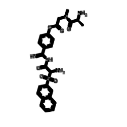 C[C@H](N)C(=O)N(C)CC(=O)Oc1ccc(C(=N)NC(=O)C(N)S(=O)(=O)c2ccc3ccccc3c2)cc1